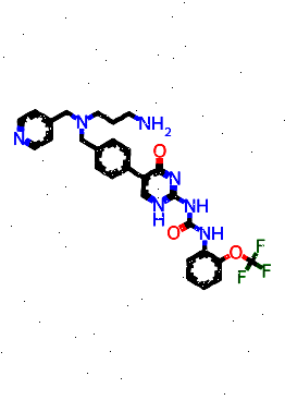 NCCCN(Cc1ccncc1)Cc1ccc(-c2c[nH]c(NC(=O)Nc3ccccc3OC(F)(F)F)nc2=O)cc1